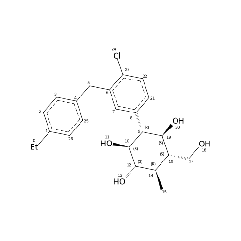 CCc1ccc(Cc2cc([C@H]3[C@H](O)[C@@H](O)[C@H](C)[C@@H](CO)[C@@H]3O)ccc2Cl)cc1